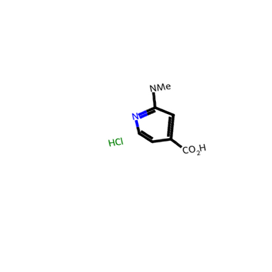 CNc1cc(C(=O)O)ccn1.Cl